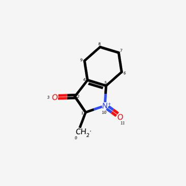 [CH2]C1C(=O)C2=C(CCCC2)[N+]1=O